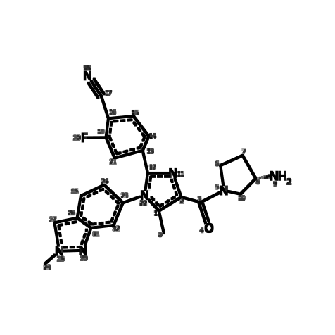 Cc1c(C(=O)N2CC[C@H](N)C2)nc(-c2ccc(C#N)c(F)c2)n1-c1ccc2cn(C)nc2c1